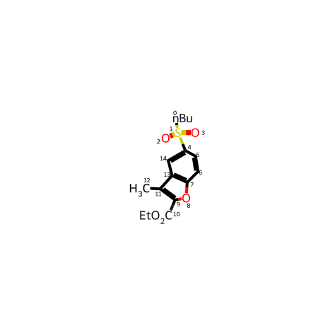 CCCCS(=O)(=O)c1ccc2oc(C(=O)OCC)c(C)c2c1